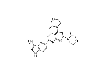 C[C@H]1COCCN1c1nc(N2CCOC[C@@H]2C)c2ccc(-c3ccc4[nH]nc(N)c4c3)nc2n1